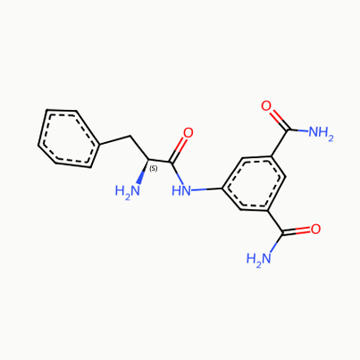 NC(=O)c1cc(NC(=O)[C@@H](N)Cc2ccccc2)cc(C(N)=O)c1